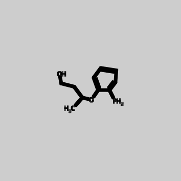 CC(CCO)Oc1ccccc1P